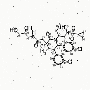 CCC(CN(C)S(=O)(=O)C1CC1)N1C(=O)C(C)(CC(=O)NCC(O)CO)CC(c2cccc(Cl)c2)C1c1ccc(Cl)cc1